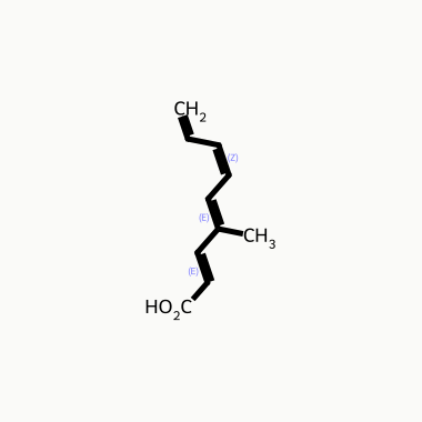 C=C\C=C/C=C(C)/C=C/C(=O)O